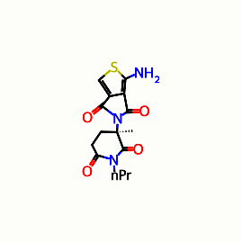 CCCN1C(=O)CC[C@@](C)(N2C(=O)c3csc(N)c3C2=O)C1=O